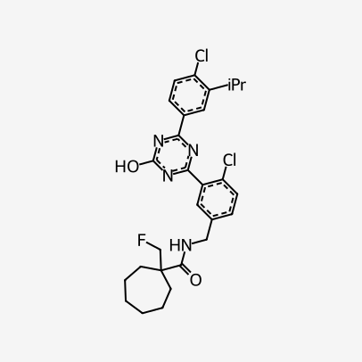 CC(C)c1cc(-c2nc(O)nc(-c3cc(CNC(=O)C4(CF)CCCCCC4)ccc3Cl)n2)ccc1Cl